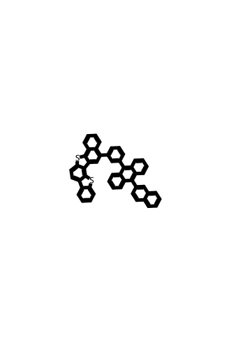 c1cc(-c2c3ccccc3c(-c3ccc4ccccc4c3)c3ccccc23)cc(-c2cc3c(sc4ccc5c6ccccc6sc5c43)c3ccccc23)c1